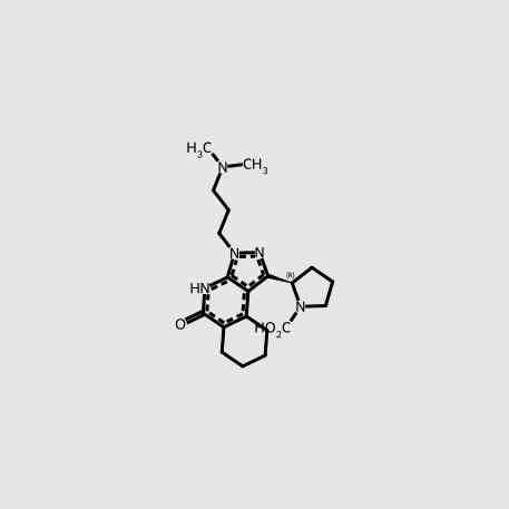 CN(C)CCCn1nc([C@H]2CCCN2C(=O)O)c2c3c(c(=O)[nH]c21)CCCC3